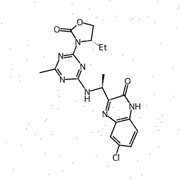 CC[C@H]1COC(=O)N1c1nc(C)nc(N[C@@H](C)c2nc3cc(Cl)ccc3[nH]c2=O)n1